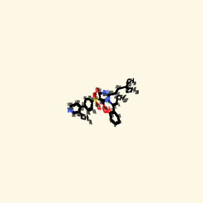 CCC(c1ccccc1)n1c(CCC(C)C)nc(=O)c(S(=O)(=O)c2ccc(-c3ccncc3C)cc2)c1O